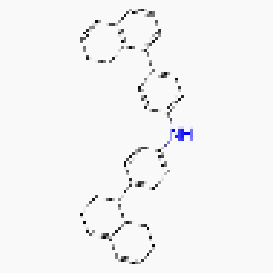 C1=Cc2cccc(-c3ccc(Nc4ccc(C5CCC=C6C=CCCC65)cc4)cc3)c2CC1